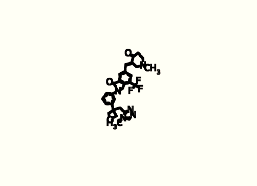 CN1CCC(=O)/C(=C/c2cc3c(c(C(F)(F)F)c2)CN(c2cccc(C4(Cc5nncn5C)COC4)c2)C3=O)C1